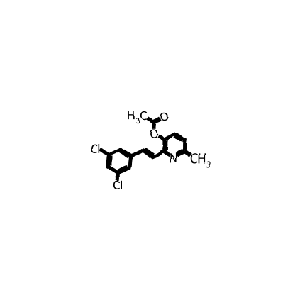 CC(=O)Oc1ccc(C)nc1C=Cc1cc(Cl)cc(Cl)c1